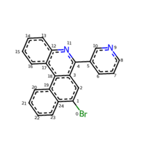 Brc1cc2c(-c3cccnc3)nc3ccccc3c2c2ccccc12